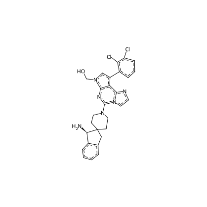 N[C@@H]1c2ccccc2CC12CCN(c1nc3c(c(-c4cccc(Cl)c4Cl)cn3CO)c3nccn13)CC2